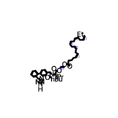 CC/C=C\C/C=C\C/C=C\C/C=C\C/C=C\CCCC(=O)O/C=C/OC(=O)[C@H](C(C)C)N(Cc1ccc(-c2ccccc2-c2nn[nH]n2)cc1)C(=O)CCCC